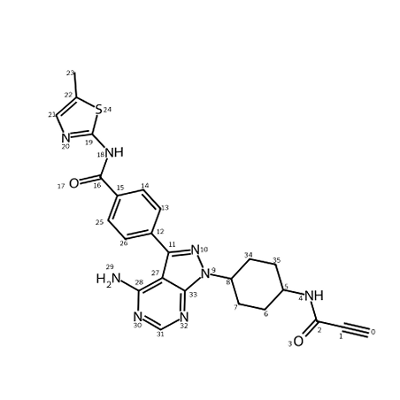 C#CC(=O)NC1CCC(n2nc(-c3ccc(C(=O)Nc4ncc(C)s4)cc3)c3c(N)ncnc32)CC1